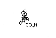 CC(C)(C)C1(NC(=O)C2(c3ccc4c(c3)OCO4)CC2)Cc2ccccc2N1CCCC(=O)O